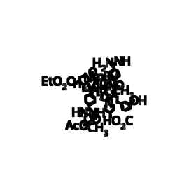 CC(C)(NC(=O)c1ccc(C(=N)N)cc1)C(CCc1cccc(O)c1)C(=O)N1CCC(CC(=O)O)CC1.CCCCC(C(=O)N1CCC(CC(=O)OCC)CC1)C(C)(C)NC(=O)c1ccc(C(=N)NC(=O)OC(C)OC(C)=O)cc1